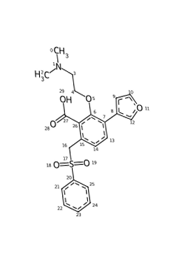 CN(C)CCOc1c(-c2ccoc2)ccc(CS(=O)(=O)c2ccccc2)c1C(=O)O